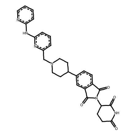 O=C1CCC(N2C(=O)c3ccc(C4CCN(Cc5cccc(Nc6ccccn6)n5)CC4)cc3C2=O)C(=O)N1